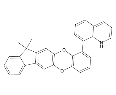 CC1(C)c2ccccc2-c2cc3c(cc21)Oc1c(cccc1C1=CC=CC2=CC=CNC21)O3